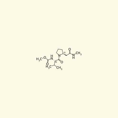 CNC(=O)C[C@@H]1CCCN1C(=O)[C@@H](NC(=O)OC)C(C)C